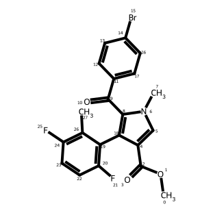 COC(=O)c1cn(C)c(C(=O)c2ccc(Br)cc2)c1-c1c(F)ccc(F)c1C